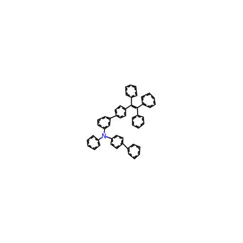 c1ccc(C(=C(c2ccccc2)c2ccc(-c3cccc(N(c4ccccc4)c4ccc(-c5ccccc5)cc4)c3)cc2)c2ccccc2)cc1